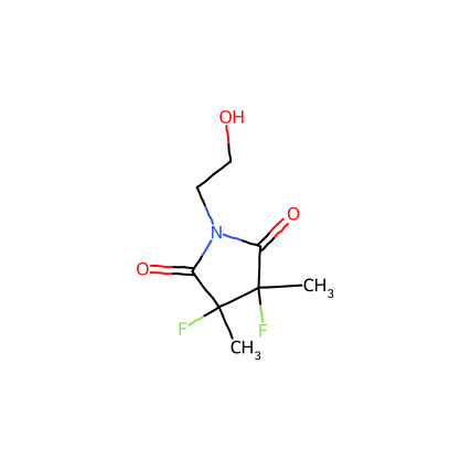 CC1(F)C(=O)N(CCO)C(=O)C1(C)F